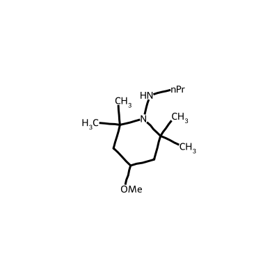 CCCNN1C(C)(C)CC(OC)CC1(C)C